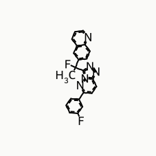 CC(F)(c1ccc2ncccc2c1)c1nnc2ccc(-c3cccc(F)c3)nn12